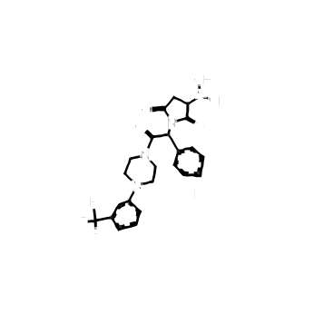 CN(C)C1CC(=O)N(C(C(=O)N2CCN(c3cccc(C(F)(F)F)c3)CC2)c2ccccc2)C1=O.Cl